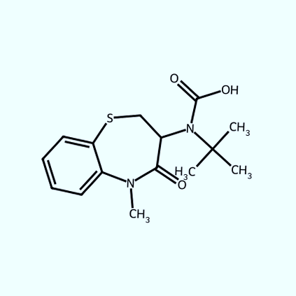 CN1C(=O)C(N(C(=O)O)C(C)(C)C)CSc2ccccc21